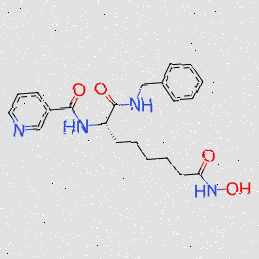 O=C(CCCCC[C@H](NC(=O)c1cccnc1)C(=O)NCc1ccccc1)NO